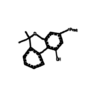 CCCCCc1cc(O)c2c(c1)OC(C)(C)c1ccccc1-2